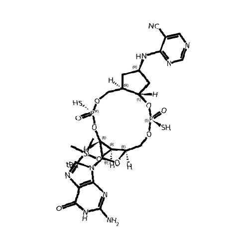 CC(C)(C)[Si](C)(C)O[C@H]1[C@H]2O[P@](=O)(S)OC[C@H]3C[C@@H](Nc4ncncc4C#N)C[C@@H]3O[P@@](=O)(S)OC[C@H]1O[C@H]2n1cnc2c(=O)[nH]c(N)nc21